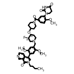 CCCCn1cc(-c2cc(OC)c(CN3CC[C@@H](OC4CCN(C(=O)c5ccc(OC)c(N6CCC(=O)NC6=O)c5)CC4)[C@H](F)C3)cc2OC)c2ccncc2c1=O